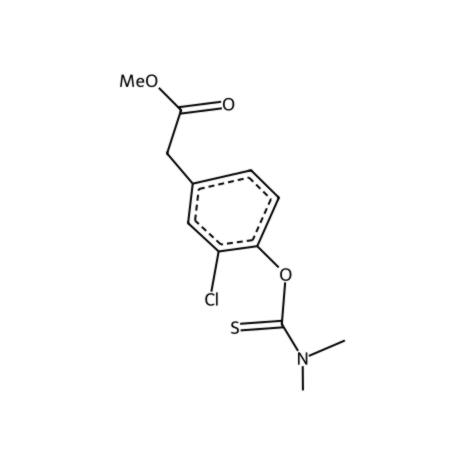 COC(=O)Cc1ccc(OC(=S)N(C)C)c(Cl)c1